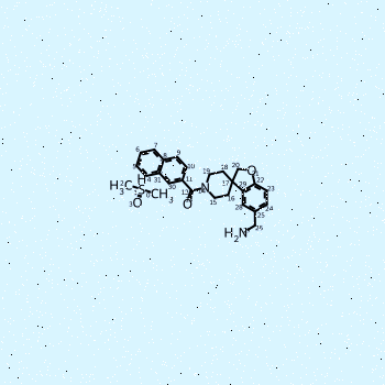 C[SH](C)(=O)c1cccc2ccc(C(=O)N3CCC4(CC3)COc3ccc(CN)cc34)cc12